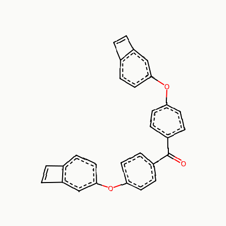 O=C(c1ccc(Oc2ccc3c(c2)C=C3)cc1)c1ccc(Oc2ccc3c(c2)C=C3)cc1